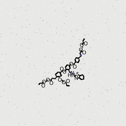 C=CC(=O)OCOC(=O)/C=C/c1ccc(C(=O)Oc2ccc(OC(=O)c3ccc(CCC(=O)OCOC(=O)C=C)c(OCOC(=O)C=C)c3)c(/C=N/Nc3nc4ccccc4s3)c2)cc1